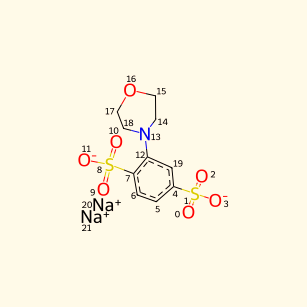 O=S(=O)([O-])c1ccc(S(=O)(=O)[O-])c(N2CCOCC2)c1.[Na+].[Na+]